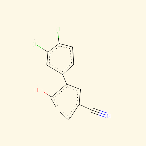 N#Cc1ccc(O)c(-c2ccc(Cl)c(Cl)c2)c1